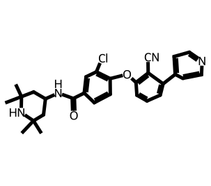 CC1(C)CC(NC(=O)c2ccc(Oc3cccc(-c4ccncc4)c3C#N)c(Cl)c2)CC(C)(C)N1